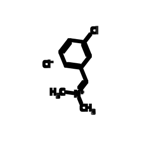 C[N+](C)=Cc1cccc(Cl)c1.[Cl-]